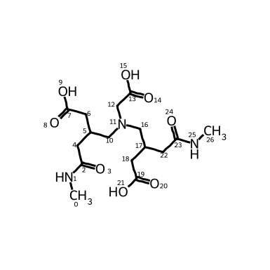 CNC(=O)CC(CC(=O)O)CN(CC(=O)O)CC(CC(=O)O)CC(=O)NC